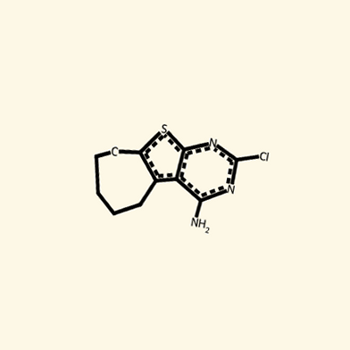 Nc1nc(Cl)nc2sc3c(c12)CCCCC3